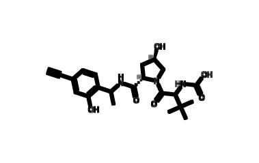 C#Cc1ccc(C(C)NC(=O)[C@@H]2C[C@@H](O)CN2C(=O)C(NC(=O)O)C(C)(C)C)c(O)c1